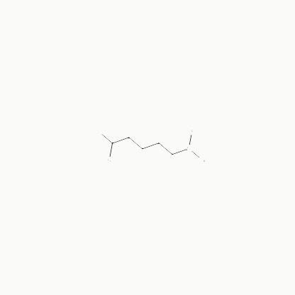 CCCN(CCCCC(N)C(=O)O)C(C)=O